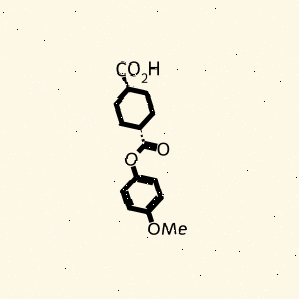 COc1ccc(OC(=O)[C@H]2CC[C@H](C(=O)O)CC2)cc1